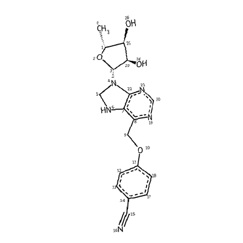 C[C@H]1O[C@@H](N2CNc3c(COc4ccc(C#N)cc4)ncnc32)[C@H](O)[C@@H]1O